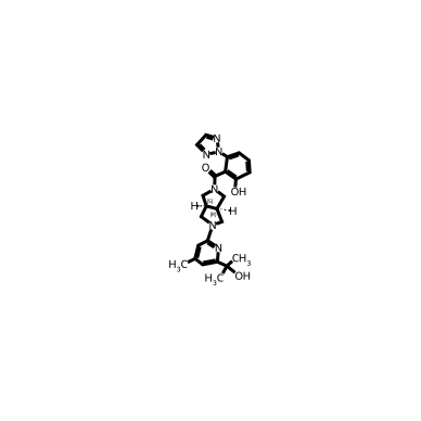 Cc1cc(N2C[C@H]3CN(C(=O)c4c(O)cccc4-n4nccn4)C[C@H]3C2)nc(C(C)(C)O)c1